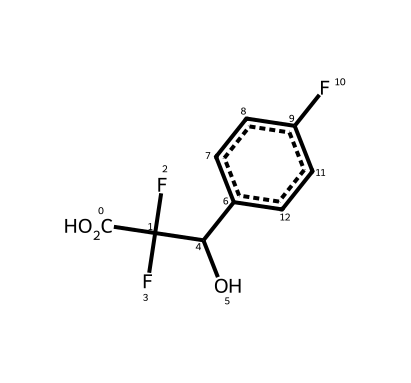 O=C(O)C(F)(F)C(O)c1ccc(F)cc1